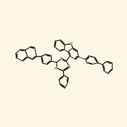 c1ccc(C2=NC(c3cc(-c4ccc(-c5ccccc5)cc4)cc4oc5ccccc5c34)=NC(c3ccc(-c4ccc5ccccc5c4)cc3)N2)cc1